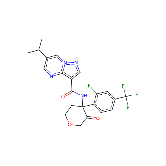 CC(C)c1cnc2c(C(=O)NC3(c4ccc(C(F)(F)F)cc4F)CCOCC3=O)cnn2c1